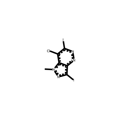 Cn1nc(I)c2nnc(I)c(Cl)c21